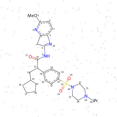 COc1ccc2c(n1)CC(NC(=O)C(CC1CCCC1)c1ccc(S(=O)(=O)N3CCN(C(C)C)CC3)cc1)=N2